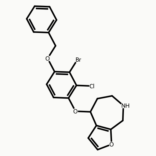 Clc1c(OC2CCNCc3occc32)ccc(OCc2ccccc2)c1Br